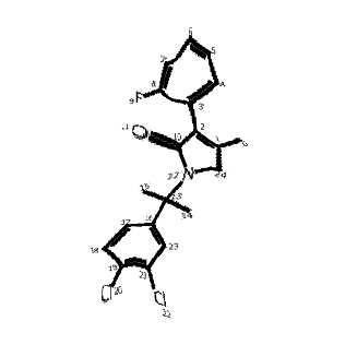 CC1=C(c2ccccc2F)C(=O)N(C(C)(C)c2ccc(Cl)c(Cl)c2)C1